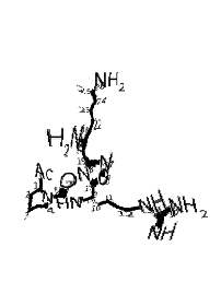 CC(=O)C1CCCN1C(=O)N[C@@H](CCCNC(=N)N)c1nc([C@@H](N)CCCCN)no1